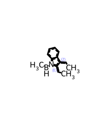 CBn1c(=C/C)/c(=C\C)c2ccccc21